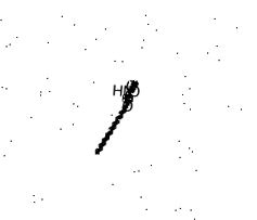 CCCCCCCCCCCCCCCCCCOc1ccc(NC(=O)OC(C)(C)C)cc1